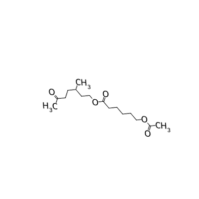 CC(=O)CCC(C)CCOC(=O)CCCCCOC(C)=O